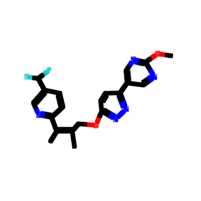 COc1ncc(-c2ccc(OC/C(C)=C(/C)c3ccc(C(F)F)cn3)nn2)cn1